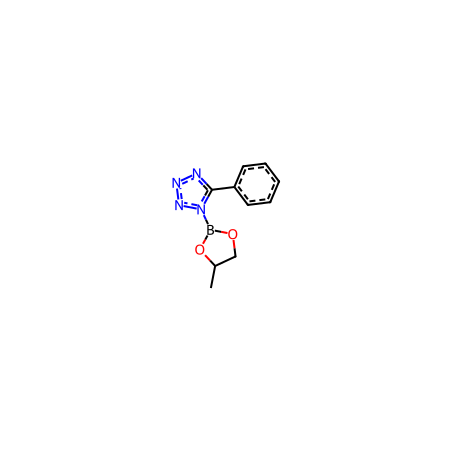 CC1COB(n2nnnc2-c2ccccc2)O1